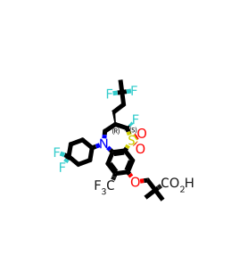 CC(F)(F)CC[C@@H]1CN(C2CCC(F)(F)CC2)c2cc(C(F)(F)F)c(OCC(C)(C)C(=O)O)cc2S(=O)(=O)[C@@H]1F